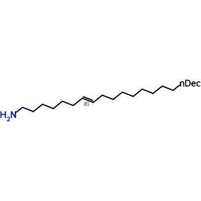 CCCCCCCCCCCCCCCCCC/C=C/CCCCCCN